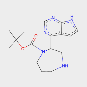 CC(C)(C)OC(=O)N1CCCNCC1c1ncnc2[nH]ccc12